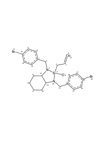 C=CC[Si]1(Cl)N(Cc2ccc(Br)cc2)C2CCCCC2N1Cc1ccc(Br)cc1